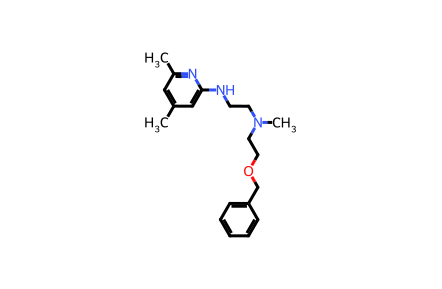 Cc1cc(C)nc(NCCN(C)CCOCc2ccccc2)c1